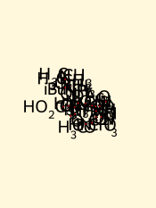 CC[C@H](C)[C@H](NC(=O)C(C)(C)N(C)C)C(=O)N(C)[C@H](C[C@@H](OC(C)=O)c1nc(C(=O)N[C@@H](Cc2ccc3c(c2)NC(=O)C(C)NC(=O)C(C)NC(=O)C(NC(=O)CCN2C(=O)C=CC2=O)C(NC(=O)CCN2C(=O)C=CC2=O)C(=O)CC(C)C(=O)NC(C)C(=O)O3)CC(C)C(=O)O)cs1)C(C)C